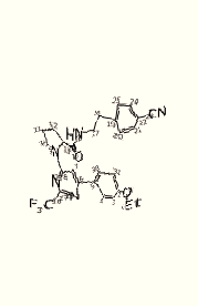 CCOc1ccc(-c2cc(N3CCCC3C(=O)NCCc3ccc(C#N)cc3)nc(C(F)(F)F)n2)cc1